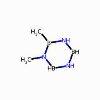 CB1NBNBN1C